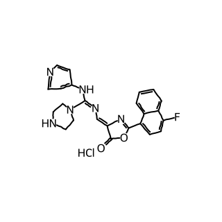 Cl.O=C1OC(c2ccc(F)c3ccccc23)=NC1=CN=C(Nc1ccncc1)N1CCNCC1